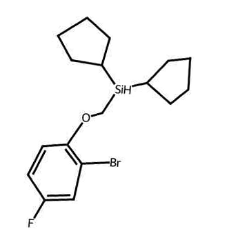 Fc1ccc(OC[SiH](C2CCCC2)C2CCCC2)c(Br)c1